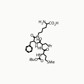 CSCCC(NC(=O)OCC(C)C)C(=O)NC(CC(C)C)C(=O)NC(Cc1ccccc1)C(=O)NCCCCC(N)C(=O)O